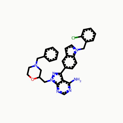 Nc1ncnc2c1c(-c1ccc3c(ccn3Cc3ccccc3Cl)c1)nn2CC1CN(Cc2ccccc2)CCO1